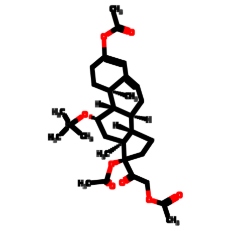 CC(=O)OCC(=O)[C@@]1(OC(C)=O)CC[C@H]2[C@@H]3CC=C4C=C(OC(C)=O)CC[C@]4(C)[C@H]3[C@@H](O[Si](C)(C)C)C[C@@]21C